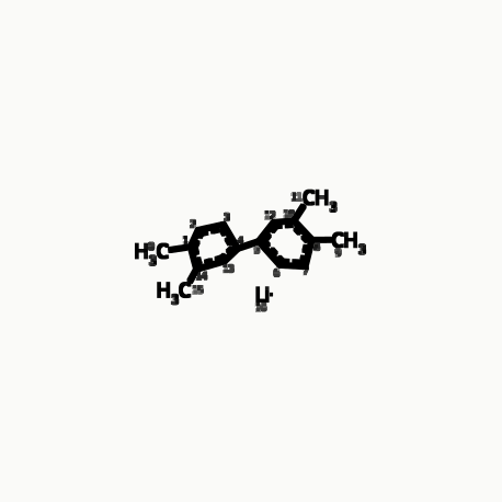 Cc1ccc(-c2ccc(C)c(C)c2)cc1C.[Li]